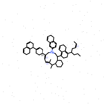 C/C=C\CC(CCC)C1=C2CCC=CC2=C(C2CN(c3ccc4c(c3)C=CCC4)C/C([C@@H]3CC=C(C4CC=CC5=C4CCC=C5)CC3)=C\C=C(/C)C(C)C3CCCCC23)CC1